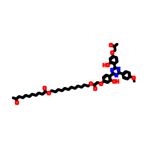 COc1ccc(-c2nc(-c3ccc(OCC(C)=O)cc3O)nc(-c3ccc(OCC(=O)OCCCCCCCCCCCCOC(=O)CCCCCCCCC(C)=O)cc3O)n2)cc1